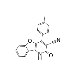 Cc1ccc(-c2c(C#N)c(=O)[nH]c3c2oc2ccccc23)cc1